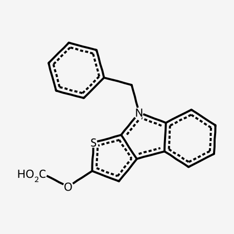 O=C(O)Oc1cc2c3ccccc3n(Cc3ccccc3)c2s1